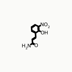 NC(=O)C=Cc1cccc([N+](=O)[O-])c1O